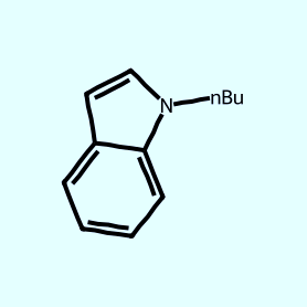 CCCCn1ccc2ccccc21